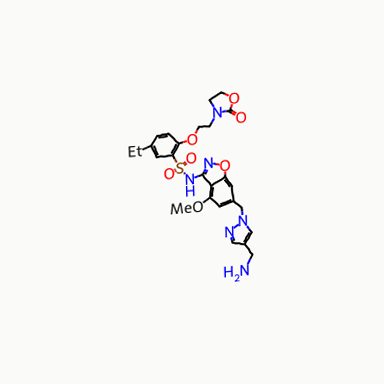 CCc1ccc(OCCN2CCOC2=O)c(S(=O)(=O)Nc2noc3cc(Cn4cc(CN)cn4)cc(OC)c23)c1